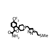 CSCCn1cc(CN2CCC3(CC2)OC(C(N)=O)c2ccc(C(F)(F)F)cc23)nn1